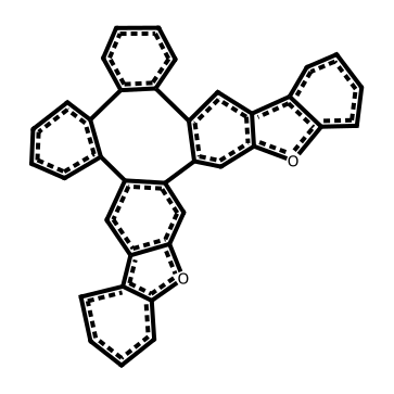 c1ccc2c(c1)-c1ccccc1-c1cc3c(cc1-c1cc4oc5ccccc5c4cc1-2)oc1ccccc13